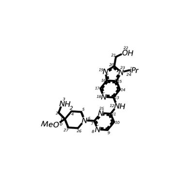 COC1(CN)CCN(c2nccc(Nc3cc4c(cn3)nc(CO)n4C(C)C)n2)CC1